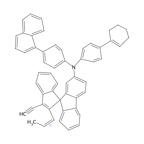 C#CC1=C(/C=C\C)C2(c3ccccc31)c1ccccc1-c1ccc(N(c3ccc(C4=CCCCC4)cc3)c3ccc(-c4cccc5ccccc45)cc3)cc12